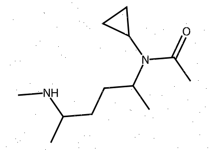 CNC(C)CCC(C)N(C(C)=O)C1CC1